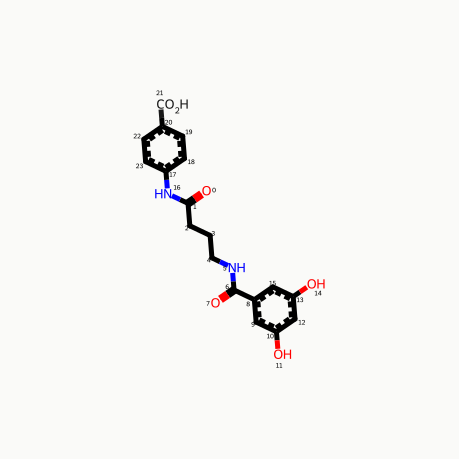 O=C(CCCNC(=O)c1cc(O)cc(O)c1)Nc1ccc(C(=O)O)cc1